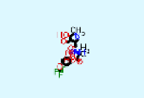 Cc1ncc(COP(=O)(NC(C)C(=O)O)Oc2ccc(OC(F)(F)F)cc2)c(C=O)c1O